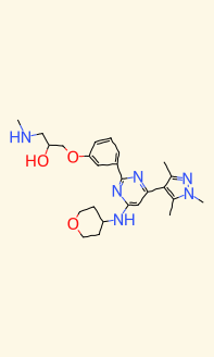 CNCC(O)COc1cccc(-c2nc(NC3CCOCC3)cc(-c3c(C)nn(C)c3C)n2)c1